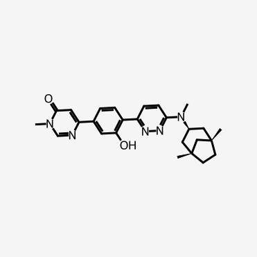 CN(c1ccc(-c2ccc(-c3cc(=O)n(C)cn3)cc2O)nn1)[C@H]1C[C@]2(C)CC[C@](C)(C1)C2